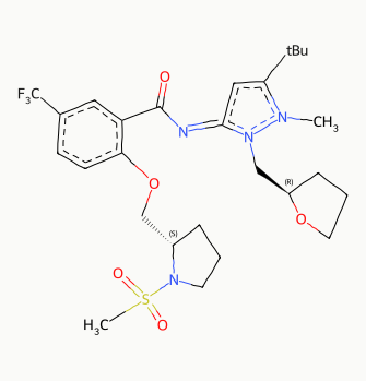 Cn1c(C(C)(C)C)cc(=NC(=O)c2cc(C(F)(F)F)ccc2OC[C@@H]2CCCN2S(C)(=O)=O)n1C[C@H]1CCCO1